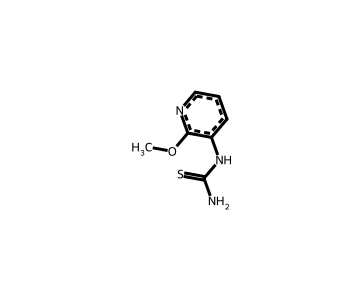 COc1ncccc1NC(N)=S